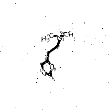 CN(C)CCC1COCO1